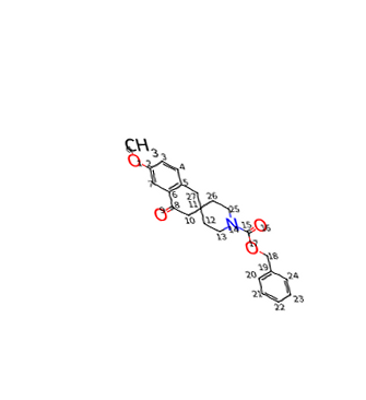 COc1ccc2c(c1)C(=O)CC1(CCN(C(=O)OCc3ccccc3)CC1)C2